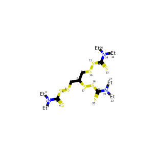 CCN(CC)C(=S)SSCC(CSSC(=S)N(CC)CC)SSC(=S)N(CC)CC